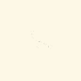 Cc1cccc(-c2nc(-c3cc(N4CCOCC4)c4sc(CN5CCN(S(C)(=O)=O)CC5)cc4n3)co2)c1